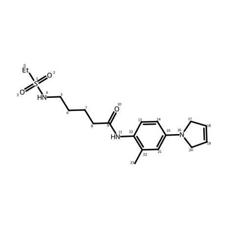 CCS(=O)(=O)NCCCCC(=O)Nc1ccc(N2CC=CC2)cc1C